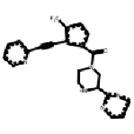 O=C(c1ccc(C(F)(F)F)c(C#Cc2ccccn2)c1)N1CCNC(c2ncccn2)C1